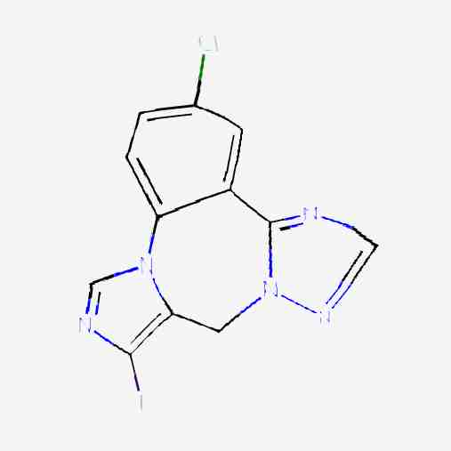 Clc1ccc2c(c1)-c1ncnn1Cc1c(I)ncn1-2